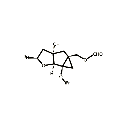 [3H][C@H]1C[C@@]2(O)C[C@]3(COC=O)C[C@]3(OC(C)C)[C@H]2O1